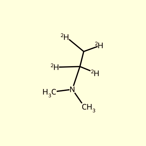 [2H]C([2H])C([2H])([2H])N(C)C